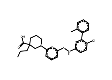 CCCC1(C(=O)O)CCCN(c2cccc(SNc3ccc(Cl)c(-c4ccccc4C)n3)n2)C1